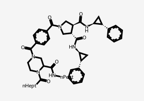 CCCCCCCC(=O)N1CCN(C(=O)c2ccc(C(=O)N3C[C@@H](C(=O)N[C@H]4C[C@@H]4c4ccccc4)[C@H](C(=O)N[C@H]4C[C@@H]4c4ccccc4)C3)cc2)CC1C(=O)NCCCCC